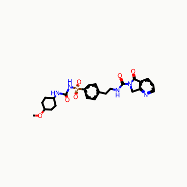 COC1CCC(NC(=O)NS(=O)(=O)c2ccc(CCNC(=O)N3Cc4ncccc4C3=O)cc2)CC1